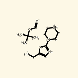 CC(C)(C)OC=O.OCc1cnc(N2CCNCC2)s1